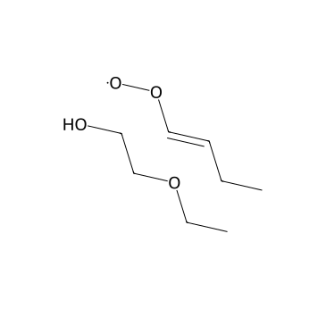 CCC=CO[O].CCOCCO